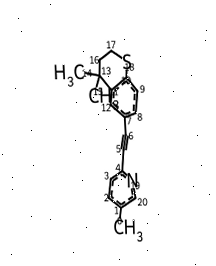 Cc1ccc(C#Cc2ccc3c(c2)C(C)(C)CCS3)nc1